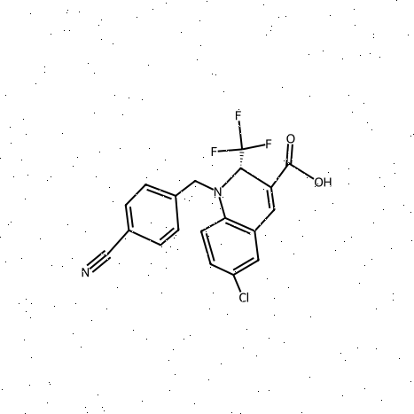 N#Cc1ccc(CN2c3ccc(Cl)cc3C=C(C(=O)O)[C@H]2C(F)(F)F)cc1